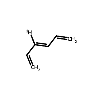 [2H]C(C=C)=CC=C